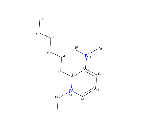 CCCCCCC1C(N(C)C)=CC=CN1CC